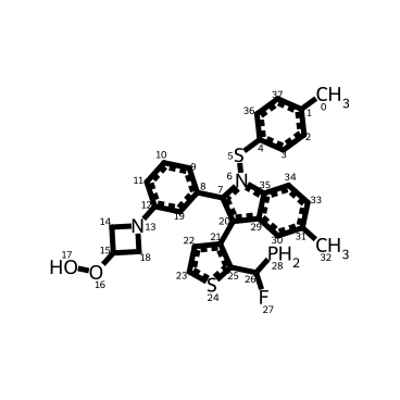 Cc1ccc(Sn2c(-c3cccc(N4CC(OO)C4)c3)c(-c3ccsc3C(F)P)c3cc(C)ccc32)cc1